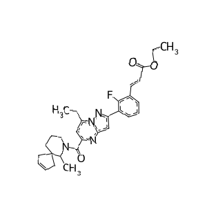 CCOC(=O)/C=C/c1cccc(-c2cc3nc(C(=O)N4CCCC5(CC=CC5)C4C)cc(CC)n3n2)c1F